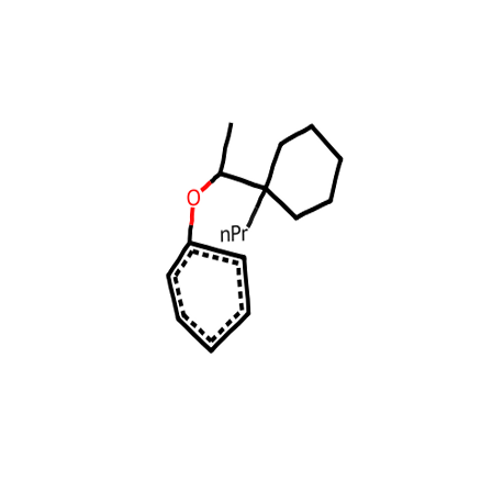 CCCC1(C(C)Oc2ccccc2)CCCCC1